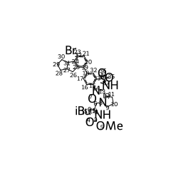 CC[C@H](C)[C@H](NC(=O)OC)C(=O)N1CCC[C@H]1C1=Nc2ccc(-c3ccc(Br)c4c3CC3CCCC43)cc2S(=O)(=O)N1